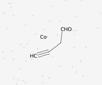 C#CCC=O.[Co]